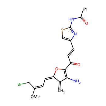 C=c1c(N)c(C(=O)/C=C/c2csc(NC(=O)C(C)C)n2)o/c1=C/C=C(\CBr)OC